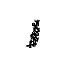 CSc1ccc(N2CCc3c(OC4CCN(C(=O)OC(C)C)CC4)ncnc32)nc1